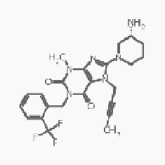 CC#CCn1c(N2CCC[C@@H](N)C2)nc2c1c(=O)n(Cc1ccccc1C(F)(F)F)c(=O)n2C